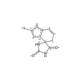 O=C1NC(=O)C2(CC=Cc3oc(F)cc32)N1